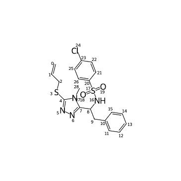 C=CCSc1nnc(C(Cc2ccccc2)NS(=O)(=O)c2ccc(Cl)cc2)n1C